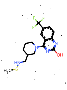 CSNCC1CCCN(c2nc(O)nc3ccc(C(F)(F)F)cc23)C1